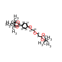 CC(C)(C)OC(=O)CCOCCOc1ccc(B2OC(C)(C)C(C)(C)O2)cc1